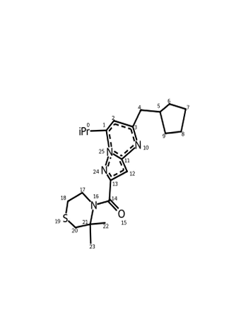 CC(C)c1cc(CC2CCCC2)nc2cc(C(=O)N3CCSCC3(C)C)nn12